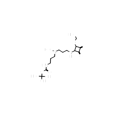 CCOC1C(=O)C(=O)C1NCCCN(C)CCCNC(=O)OC(C)(C)C